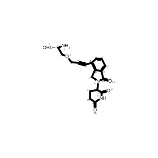 N[C@@H](C=O)COCC#Cc1cccc2c1CN(C1CCC(=O)NC1=O)C2=O